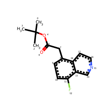 CC(C)(C)OC(=O)Cc1ccc(F)c2cnccc12